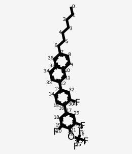 CCCCCCCc1ccc2cc(-c3ccc(-c4cc(F)c(OC(F)(F)F)c(F)c4)c(F)c3)ccc2c1